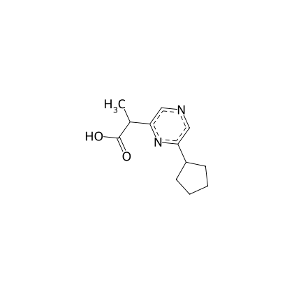 CC(C(=O)O)c1cncc(C2CCCC2)n1